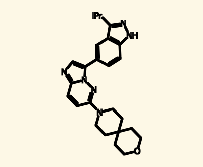 CC(C)c1n[nH]c2ccc(-c3cnc4ccc(N5CCC6(CCOCC6)CC5)nn34)cc12